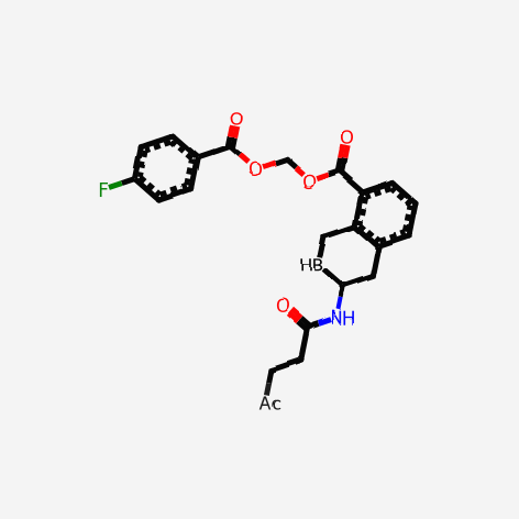 CC(=O)CCC(=O)NC1BCc2c(cccc2C(=O)OCOC(=O)c2ccc(F)cc2)C1